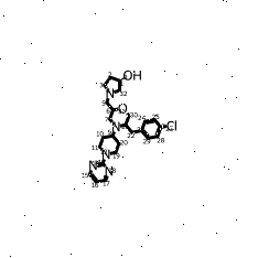 O[C@H]1CCN(CC2CN(C3CCN(c4ncccn4)CC3)C(Cc3ccc(Cl)cc3)CO2)C1